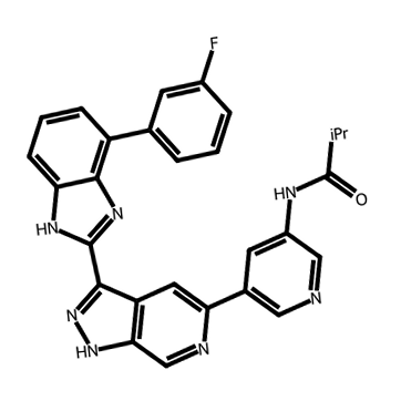 CC(C)C(=O)Nc1cncc(-c2cc3c(-c4nc5c(-c6cccc(F)c6)cccc5[nH]4)n[nH]c3cn2)c1